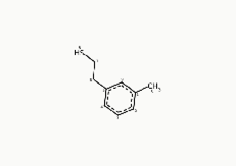 Cc1cccc(CCS)c1